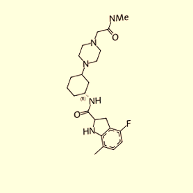 CNC(=O)CN1CCN(C2CCC[C@@H](NC(=O)C3Cc4c(F)ccc(C)c4N3)C2)CC1